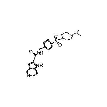 CC(C)N1CCC(S(=O)(=O)c2ccc(CNC(=O)c3cc4cnccc4[nH]3)cc2)CC1